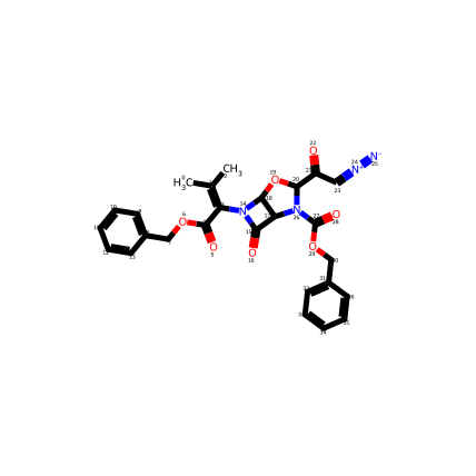 CC(C)=C(C(=O)OCc1ccccc1)N1C(=O)C2C1OC(C(=O)C=[N+]=[N-])N2C(=O)OCc1ccccc1